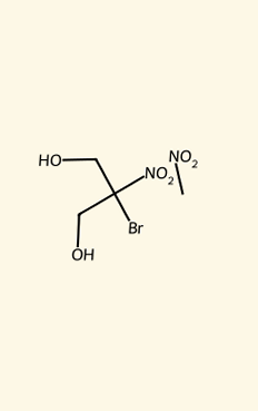 C[N+](=O)[O-].O=[N+]([O-])C(Br)(CO)CO